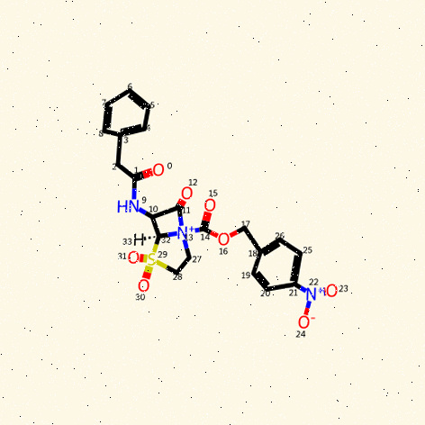 O=C(Cc1ccccc1)NC1C(=O)[N+]2(C(=O)OCc3ccc([N+](=O)[O-])cc3)CCS(=O)(=O)[C@@H]12